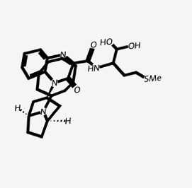 CSCCC(NC(=O)c1nc2ccccc2n([C@H]2C[C@H]3CC[C@@H](C2)N3C2CCCCCCC2)c1=O)C(O)O